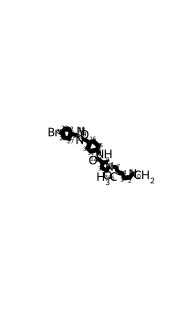 C=N/C=C\C=C(/C)CN1CC(C(=O)Nc2ccc(-c3nc(-c4ccc(Br)cc4)no3)cc2)CC1=O